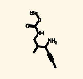 CC#CC(N)C(C)CNC(=O)OC(C)(C)C